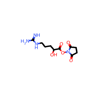 N=C(N)NCCCC(O)C(=O)ON1C(=O)CCC1=O